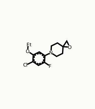 CCOc1cc(N2CCC3(CC2)CO3)c(F)cc1Cl